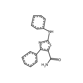 NC(=O)c1sc(Nc2ccccc2)nc1-c1ccccc1